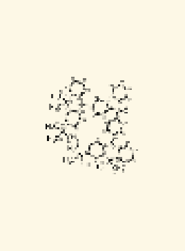 CC(C)(C)c1ccc2c(c1)C(C)(C)c1ccccc1N2c1ccc(P(=O)(c2ccccc2)c2ccc(N3c4ccccc4C(C)(C)c4cc(C(C)(C)C)ccc43)cc2)cc1